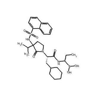 CCC(NC(=O)[C@H](CC1CCCCC1)N1CCC(NS(=O)(=O)c2cccc3ccccc23)(C(C)C)C1=O)B(O)O